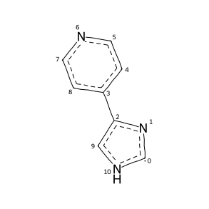 [c]1nc(-c2ccncc2)c[nH]1